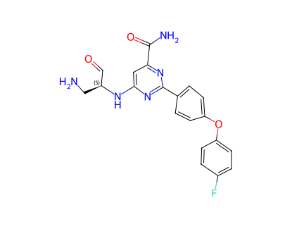 NC[C@@H](C=O)Nc1cc(C(N)=O)nc(-c2ccc(Oc3ccc(F)cc3)cc2)n1